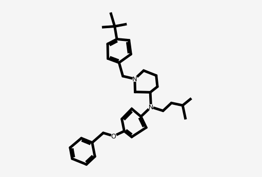 CC(C)CCN(c1ccc(OCc2ccccc2)cc1)C1CCCN(Cc2ccc(C(C)(C)C)cc2)C1